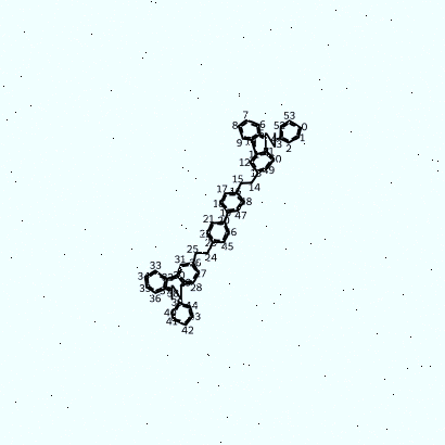 c1ccc(-n2c3ccccc3c3cc(CCc4ccc(-c5ccc(CCc6ccc7c(c6)c6ccccc6n7-c6ccccc6)cc5)cc4)ccc32)cc1